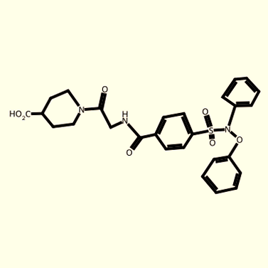 O=C(NCC(=O)N1CCC(C(=O)O)CC1)c1ccc(S(=O)(=O)N(Oc2ccccc2)c2ccccc2)cc1